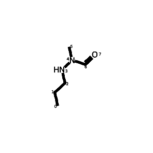 CCCNN(C)C=O